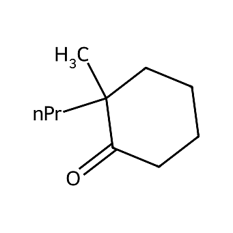 CCCC1(C)CCCCC1=O